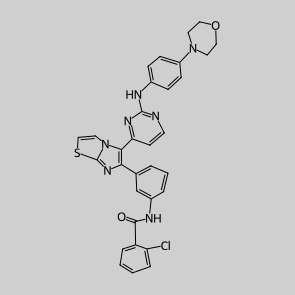 O=C(Nc1cccc(-c2nc3sccn3c2-c2ccnc(Nc3ccc(N4CCOCC4)cc3)n2)c1)c1ccccc1Cl